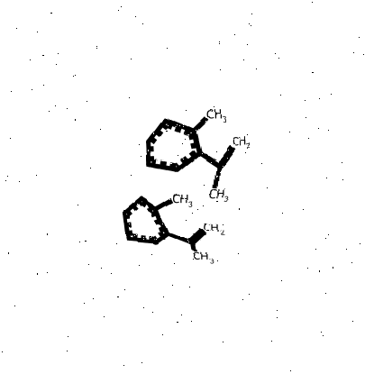 C=C(C)c1ccccc1C.C=C(C)c1ccccc1C